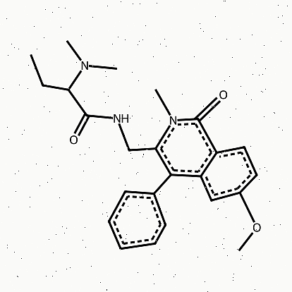 CCC(C(=O)NCc1c(-c2ccccc2)c2cc(OC)ccc2c(=O)n1C)N(C)C